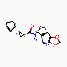 C[C@H](NC(=O)[C@H]1C[C@@H]1c1ccccc1)c1cnc2c(c1)OCO2